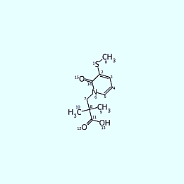 CSc1cccn(CC(C)(C)C(=O)O)c1=O